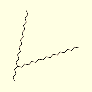 [CH2]CCCC(CCCCCCCCCCCCCCC)CCCCCCCCCCCCCCCCC